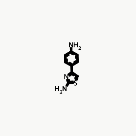 Nc1ccc(-c2csc(N)n2)cc1